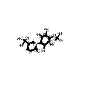 [2H]c1c([2H])c(-n2cc(C([2H])([2H])O)ccc2=O)c([2H])c([2H])c1OC([2H])([2H])[2H]